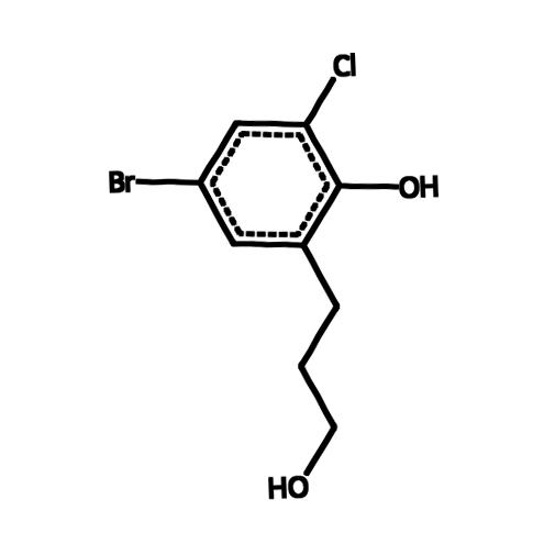 OCCCc1cc(Br)cc(Cl)c1O